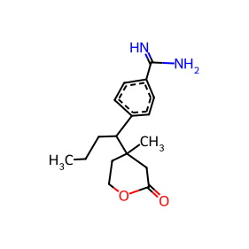 CCCC(c1ccc(C(=N)N)cc1)C1(C)CCOC(=O)C1